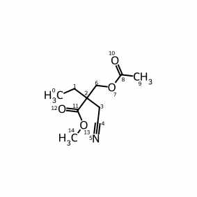 CCC(CC#N)(COC(C)=O)C(=O)OC